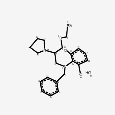 CC(C)(C)COCC(CN(Cc1ccccc1)c1c(Cl)cccc1Cl)N1CCCC1.Cl